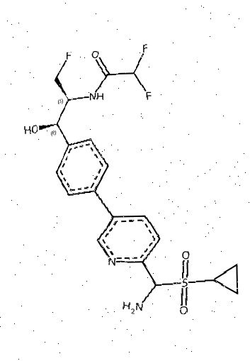 NC(c1ccc(-c2ccc([C@@H](O)[C@@H](CF)NC(=O)C(F)F)cc2)cn1)S(=O)(=O)C1CC1